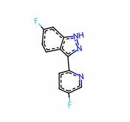 Fc1ccc(-c2n[nH]c3cc(F)ccc23)nc1